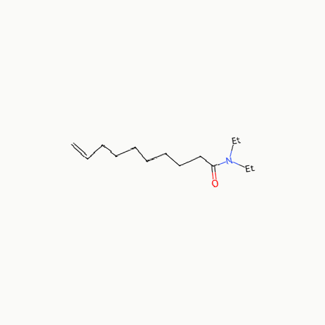 C=CCCCCCCCC(=O)N(CC)CC